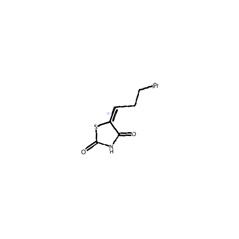 CC(C)CC/C=C1/SC(=O)NC1=O